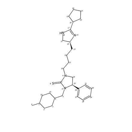 CC1CCC(CN2C(=S)N(CCCC[C@H]3CNC(C4CCCC4)=N3)C[C@H]2c2ccccc2)CC1